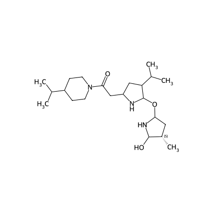 CC(C)C1CCN(C(=O)CC2CC(C(C)C)C(OC3C[C@H](C)C(O)N3)N2)CC1